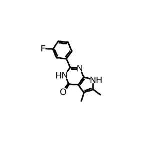 Cc1[nH]c2nc(-c3cccc(F)c3)[nH]c(=O)c2c1C